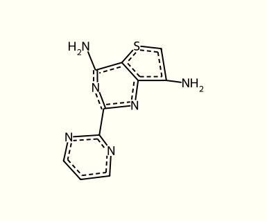 Nc1csc2c(N)nc(-c3ncccn3)nc12